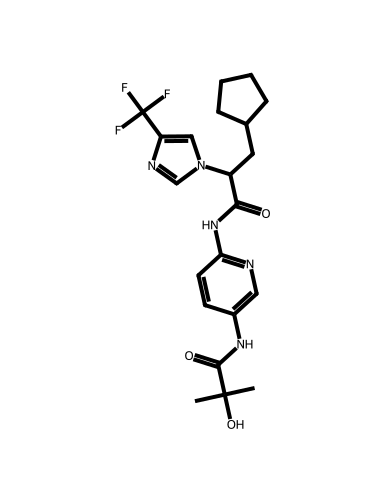 CC(C)(O)C(=O)Nc1ccc(NC(=O)C(CC2CCCC2)n2cnc(C(F)(F)F)c2)nc1